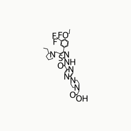 CCOc1ccc(-c2nc(NC(=O)c3cnc(N4CCN(CC(=O)O)CC4)cn3)sc2CN2CCCC2CC)cc1C(F)(F)F